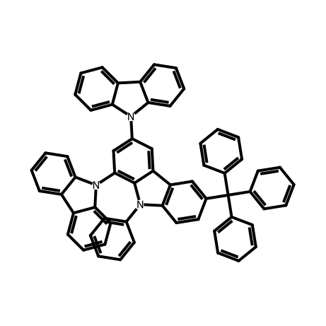 c1ccc(-n2c3ccc(C(c4ccccc4)(c4ccccc4)c4ccccc4)cc3c3cc(-n4c5ccccc5c5ccccc54)cc(-n4c5ccccc5c5ccccc54)c32)cc1